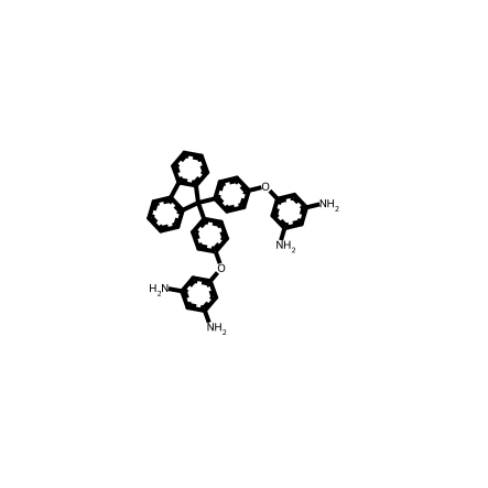 Nc1cc(N)cc(Oc2ccc(C3(c4ccc(Oc5cc(N)cc(N)c5)cc4)c4ccccc4-c4ccccc43)cc2)c1